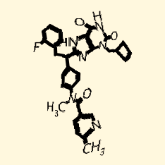 Cc1ccc(C(=O)N(C)c2ccc(C(Cc3ccccc3F)c3nc4c([nH]3)c(=O)[nH]c(=O)n4CC3CCC3)cc2)cn1